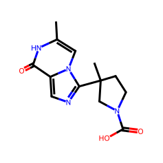 Cc1cn2c(C3(C)CCN(C(=O)O)C3)ncc2c(=O)[nH]1